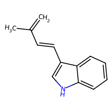 C=C(C)C=Cc1c[nH]c2ccccc12